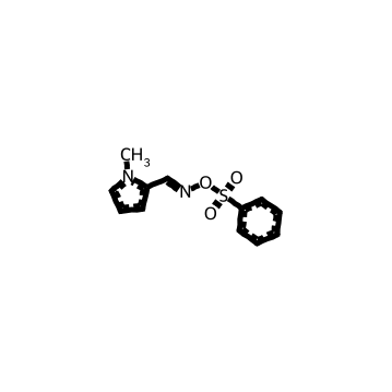 Cn1cccc1C=NOS(=O)(=O)c1ccccc1